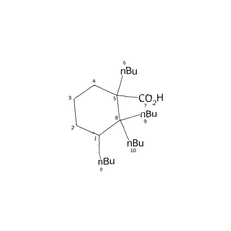 CCCCC1CCCC(CCCC)(C(=O)O)C1(CCCC)CCCC